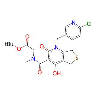 CN(CC(=O)OC(C)(C)C)C(=O)c1c(O)c2c(n(Cc3ccc(Cl)nc3)c1=O)CSC2